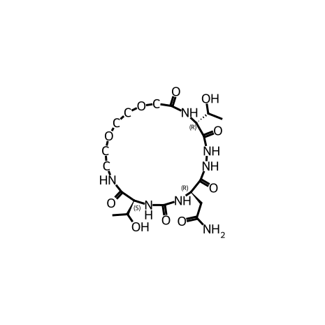 CC(O)[C@@H]1NC(=O)N[C@H](CC(N)=O)C(=O)NNC(=O)[C@@H](C(C)O)NC(=O)COCCOCCNC1=O